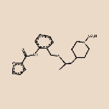 CC(CC1CCN(C(=O)O)CC1)NCc1ccccc1NC(=O)c1ccco1